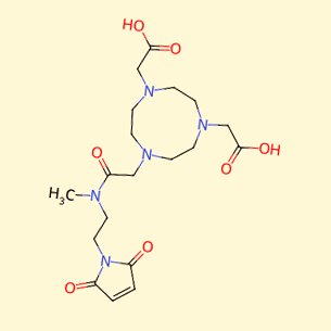 CN(CCN1C(=O)C=CC1=O)C(=O)CN1CCN(CC(=O)O)CCN(CC(=O)O)CC1